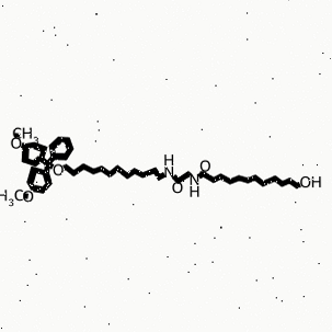 COc1ccc(C(OCCCCCCCCCCCCNC(=O)CNC(=O)CCCCCCCCCCCO)(c2ccccc2)c2ccc(OC)cc2)cc1